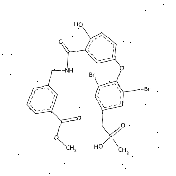 COC(=O)c1cccc(CNC(=O)c2cc(Oc3c(Br)cc(CP(C)(=O)O)cc3Br)ccc2O)c1